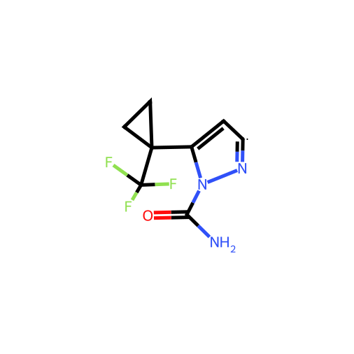 NC(=O)n1n[c]cc1C1(C(F)(F)F)CC1